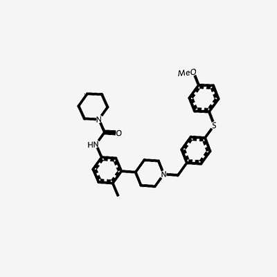 COc1ccc(Sc2ccc(CN3CCC(c4cc(NC(=O)N5CC[CH]CC5)ccc4C)CC3)cc2)cc1